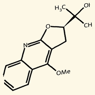 COc1c2c(nc3ccccc13)O[C@@H](C(C)(C)O)C2